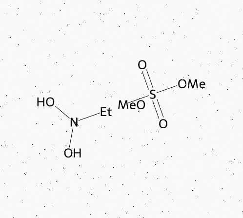 CCN(O)O.COS(=O)(=O)OC